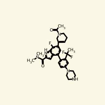 CC(=O)N1CCC=C(c2cc(-c3ccc(N4CCNCC4)cc3C(C)(F)F)c3cc(C(=O)N(C)C)[nH]c3c2F)C1